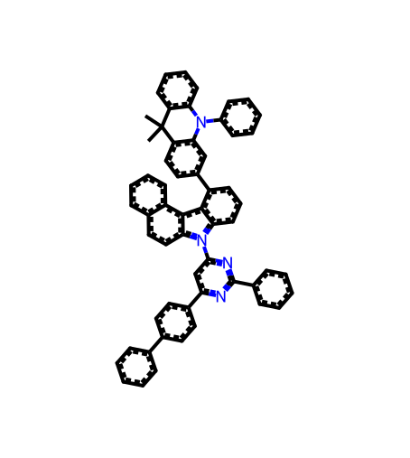 CC1(C)c2ccccc2N(c2ccccc2)c2cc(-c3cccc4c3c3c5ccccc5ccc3n4-c3cc(-c4ccc(-c5ccccc5)cc4)nc(-c4ccccc4)n3)ccc21